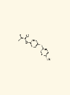 C=C(C)C(=O)Oc1ccc(Cc2ccc(CCC)cc2)cc1